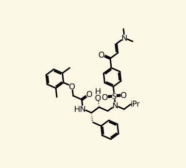 Cc1cccc(C)c1OCC(=O)N[C@@H](Cc1ccccc1)[C@H](O)CN(CC(C)C)S(=O)(=O)c1ccc(C(=O)C=CN(C)C)cc1